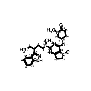 CCC(CCN(C)c1nc2c(c(N[C@H]3CCC(=O)N(C)C3)n1)[S+]([O-])CC2)c1n[nH]c2ccccc12